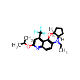 CCN1c2ccc3nc(OC(C)C)cc(C(F)(F)F)c3c2O[C@H]2CCC[C@H]21